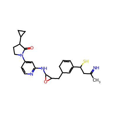 CC(=N)CC(S)C1=CC(CC2OC2Nc2cc(N3CCC(C4CC4)C3=O)ccn2)CC=C1